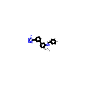 O=[N+]([O-])c1ccc(-c2cccc(-c3nnn[nH]3)c2)cc1NCc1ccccc1